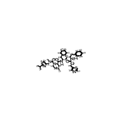 CC(C)c1nc(CN(C)C(=O)N2CCN(C)C[C@@H]2C(=O)N[C@@H](CC[C@H](Cc2ccccc2)NC(=O)OCc2cncs2)Cc2ccccc2)cs1